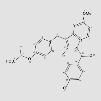 COc1ccc2c(c1)c(Cc1ccc(OC(C)C(=O)O)cc1)c(C)n2C(=O)c1ccc(Cl)cc1